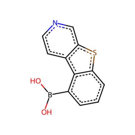 OB(O)c1cccc2sc3cnccc3c12